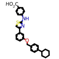 O=C(O)c1ccc(Nc2nc(-c3cccc(OCc4ccc(C5CCCCC5)cc4)c3)cs2)cc1